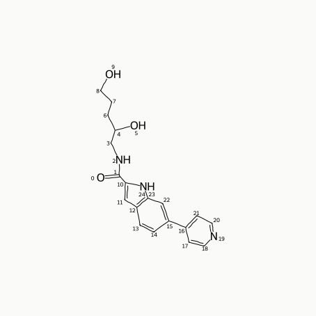 O=C(NCC(O)CCCO)c1cc2ccc(-c3ccncc3)cc2[nH]1